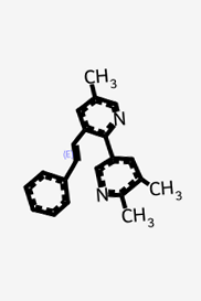 Cc1cnc(-c2cnc(C)c(C)c2)c(/C=C/c2ccccc2)c1